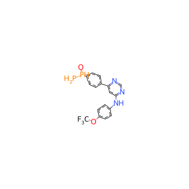 O=[PH](P)c1ccc(-c2cc(Nc3ccc(OC(F)(F)F)cc3)ncn2)cc1